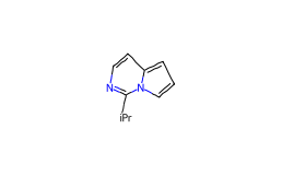 CC(C)c1nccc2cccn12